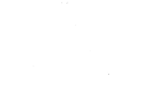 CC(C)(C)OC(=O)C(Cc1ccccc1F)C(=O)OC(C)(C)C